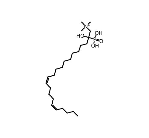 CCCC/C=C\CCC/C=C\CCCCCCCCCC(O)(C[N+](C)(C)C)P(=O)(O)O